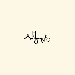 CC(=O)N(C)CC(=O)NCC(C)C